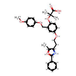 COc1ccc(OCc2cc(OCCc3nc(-c4ccccc4)oc3C)ccc2OC(C)(C)C(=O)O)cc1